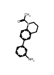 CC(=O)N1CCCc2cc(-c3cccc(N)c3)ccc21